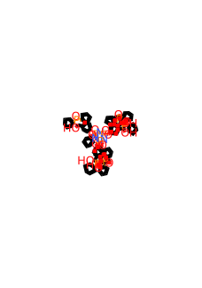 O=P(c1ccccc1)(c1ccccc1)C(O)c1ccc(OP2(Oc3ccccc3)=NP(Oc3ccc(C(O)P(=O)(c4ccccc4)c4ccccc4)cc3)(Oc3ccc(C(O)P(=O)(c4ccccc4)c4ccccc4)cc3)=NP(Oc3ccc(C(O)P(=O)(c4ccccc4)c4ccccc4)cc3)(Oc3ccc(C(O)P(=O)(c4ccccc4)c4ccccc4)cc3)=N2)cc1